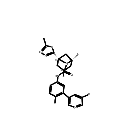 Cc1nnc([C@]23C[C@H](C)C[C@H](C2)N3C(=O)Nc2ccc(C)c(-c3cncc(F)c3)c2)o1